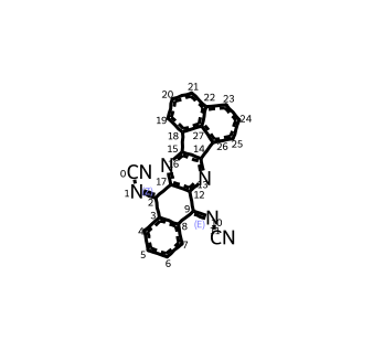 N#C/N=C1/c2ccccc2/C(=N\C#N)c2nc3c(nc21)-c1cccc2cccc-3c12